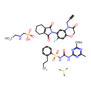 C#CCN1C(=O)COc2cc(F)c(N3C(=O)C4=C(CCCC4)C3=O)cc21.COc1nc(C)nc(NC(=O)NS(=O)(=O)c2ccccc2CCC(F)(F)F)n1.C[S+](C)C.O=C(O)CNCP(=O)([O-])O